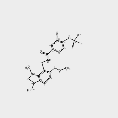 COCc1ccc2c(c1CNC(=O)c1ccc(OC(F)(F)F)c(F)c1)N(C)CN2C